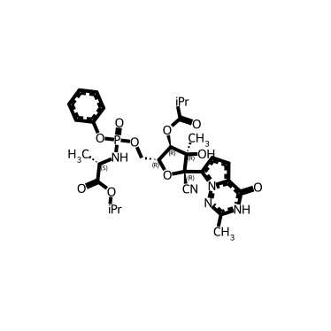 Cc1nn2c([C@]3(C#N)O[C@H](COP(=O)(N[C@@H](C)C(=O)OC(C)C)Oc4ccccc4)[C@@H](OC(=O)C(C)C)[C@@]3(C)O)ccc2c(=O)[nH]1